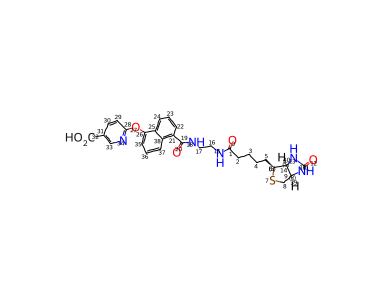 O=C(CCCC[C@@H]1SC[C@@H]2NC(=O)N[C@@H]21)NCCNC(=O)c1cccc2c(Oc3ccc(C(=O)O)cn3)cccc12